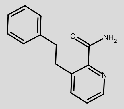 NC(=O)c1ncccc1CCc1ccccc1